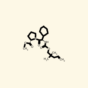 C=CCC(C)(C)COC(=O)N[C@H](C(=O)N1CCC[C@H]1C(=O)OC)C1CCCCC1